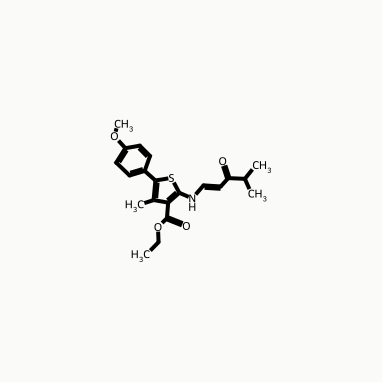 CCOC(=O)c1c(N/C=C/C(=O)C(C)C)sc(-c2ccc(OC)cc2)c1C